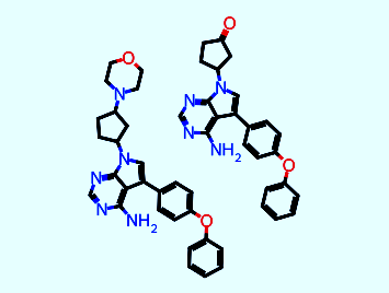 Nc1ncnc2c1c(-c1ccc(Oc3ccccc3)cc1)cn2C1CCC(=O)C1.Nc1ncnc2c1c(-c1ccc(Oc3ccccc3)cc1)cn2C1CCC(N2CCOCC2)C1